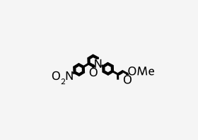 COC(=O)C=C(C)c1ccc(-n2cccc(-c3ccc([N+](=O)[O-])cc3)c2=O)cc1